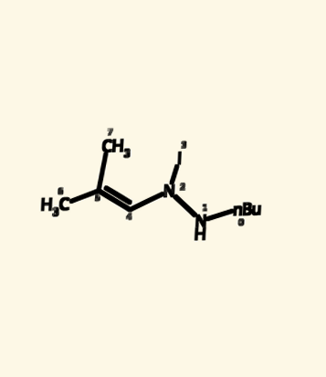 CCCCNN(I)C=C(C)C